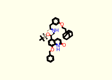 C[C@H](Cc1cccc(OCCC23CC4CC(CC(C4)C2)C3)c1)NC[C@H](O[Si](C)(C)C(C)(C)C)c1ccc(OCc2ccccc2)c2[nH]c(=O)ccc12